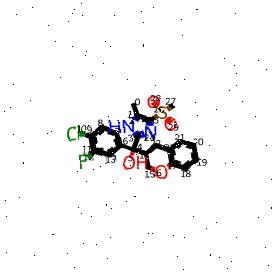 Cc1[nH]c(C(O)(c2ccc(Cl)c(F)c2)C2COc3ccccc3C2)nc1S(C)(=O)=O